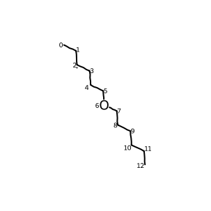 CC[CH]CCCOCCCCCC